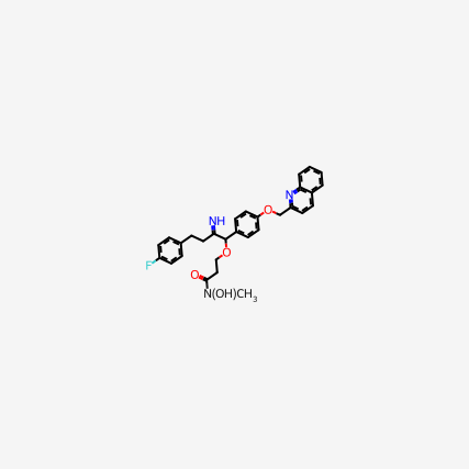 CN(O)C(=O)CCOC(C(=N)CCc1ccc(F)cc1)c1ccc(OCc2ccc3ccccc3n2)cc1